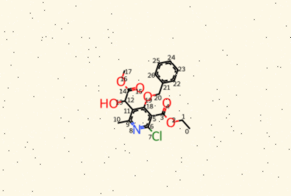 CCOC(=O)c1c(Cl)nc(C)c(C(O)C(=O)OC)c1OCc1ccccc1